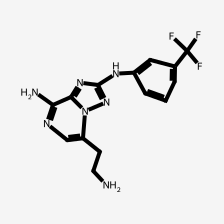 NCCc1cnc(N)c2nc(Nc3cccc(C(F)(F)F)c3)nn12